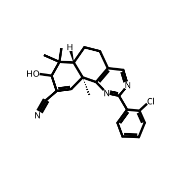 CC1(C)C(O)C(C#N)=C[C@]2(C)c3nc(-c4ccccc4Cl)ncc3CC[C@@H]12